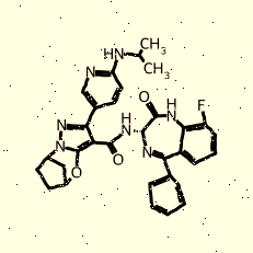 CC(C)Nc1ccc(-c2nn3c(c2C(=O)N[C@H]2N=C(c4ccccc4)c4cccc(F)c4NC2=O)OC2CCC3C2)cn1